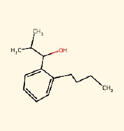 CCCCc1ccccc1C(O)C(C)C